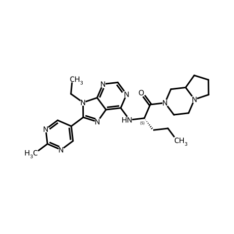 CCC[C@H](Nc1ncnc2c1nc(-c1cnc(C)nc1)n2CC)C(=O)N1CCN2CCCC2C1